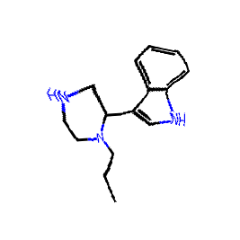 CCCN1CCNCC1c1c[nH]c2ccccc12